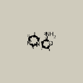 Nc1ccco1.c1cncnc1